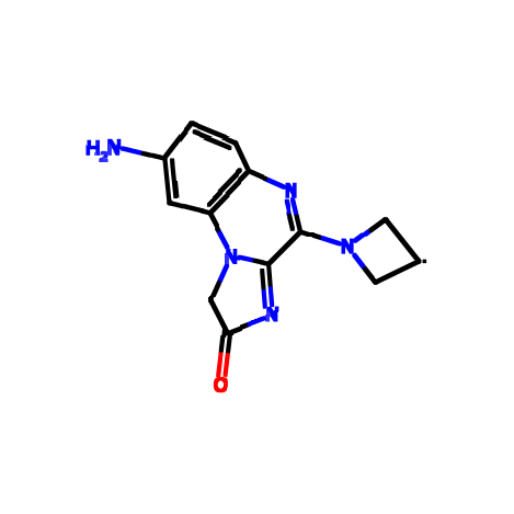 Nc1ccc2c(c1)N1CC(=O)N=C1C(N1C[CH]C1)=N2